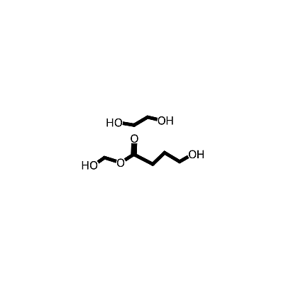 O=C(CCCO)OCO.OCCO